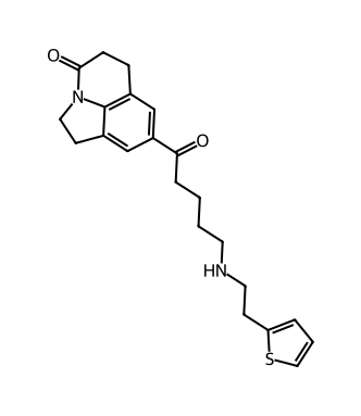 O=C(CCCCNCCc1cccs1)c1cc2c3c(c1)CCN3C(=O)CC2